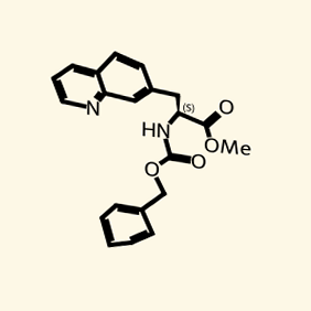 COC(=O)[C@H](Cc1ccc2cccnc2c1)NC(=O)OCc1ccccc1